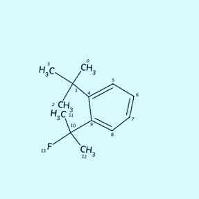 CC(C)(C)c1ccccc1C(C)(C)F